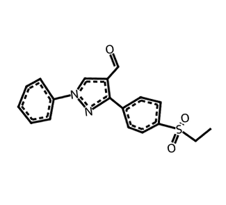 CCS(=O)(=O)c1ccc(-c2nn(-c3ccccc3)cc2C=O)cc1